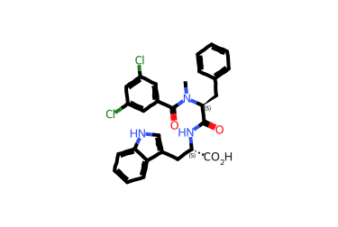 CN(C(=O)c1cc(Cl)cc(Cl)c1)[C@@H](Cc1ccccc1)C(=O)N[C@@H](Cc1c[nH]c2ccccc12)C(=O)O